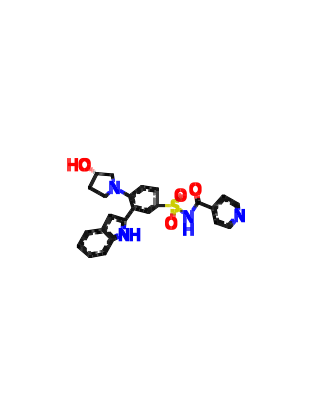 O=C(NS(=O)(=O)c1ccc(N2CC[C@H](O)C2)c(-c2cc3ccccc3[nH]2)c1)c1ccncc1